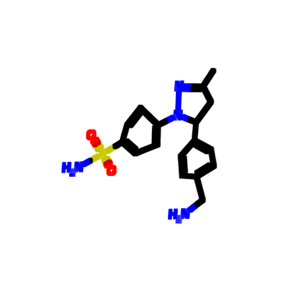 CC1=NN(c2ccc(S(N)(=O)=O)cc2)C(c2ccc(CN)cc2)C1